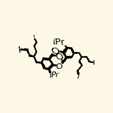 CC(C)c1cc(CC(CCI)CCCI)cc2c1OC1OC2Oc2c(C(C)C)cc(CC(CCI)CCCI)cc21